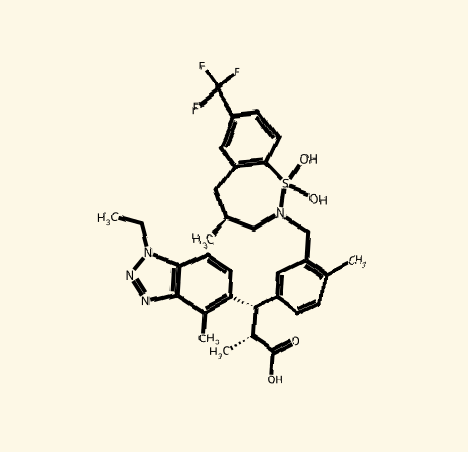 CCn1nnc2c(C)c([C@H](c3ccc(C)c(CN4C[C@@H](C)Cc5cc(C(F)(F)F)ccc5S4(O)O)c3)[C@@H](C)C(=O)O)ccc21